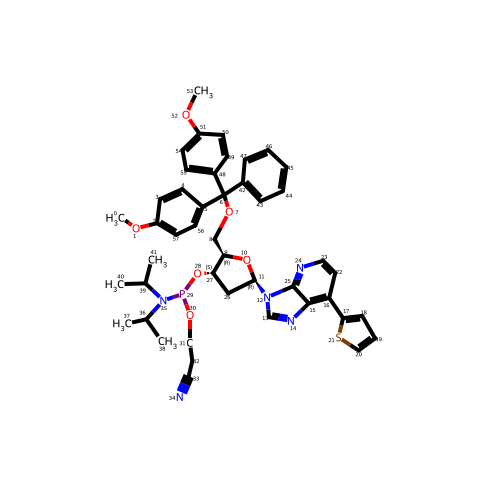 COc1ccc(C(OC[C@H]2O[C@@H](n3cnc4c(-c5cccs5)ccnc43)C[C@@H]2OP(OCCC#N)N(C(C)C)C(C)C)(c2ccccc2)c2ccc(OC)cc2)cc1